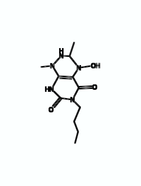 CCCCn1c(=O)[nH]c2c(c1=O)N(O)C(C)NN2C